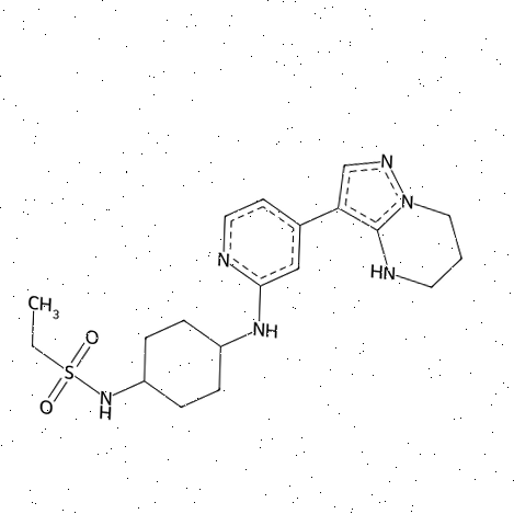 CCS(=O)(=O)NC1CCC(Nc2cc(-c3cnn4c3NCCC4)ccn2)CC1